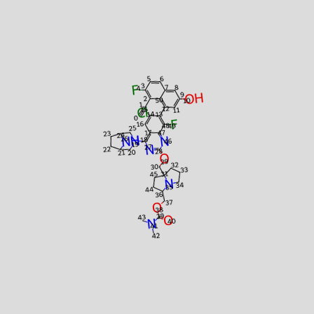 C#Cc1c(F)ccc2cc(O)cc(-c3c(Cl)cc4c(N5CC6CCC(C5)N6)nc(OCC56CCCN5C(COC(=O)N(C)C)CC6)nc4c3F)c12